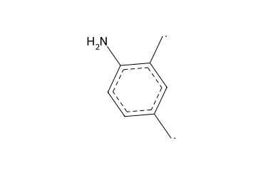 [CH2]c1ccc(N)c([CH2])c1